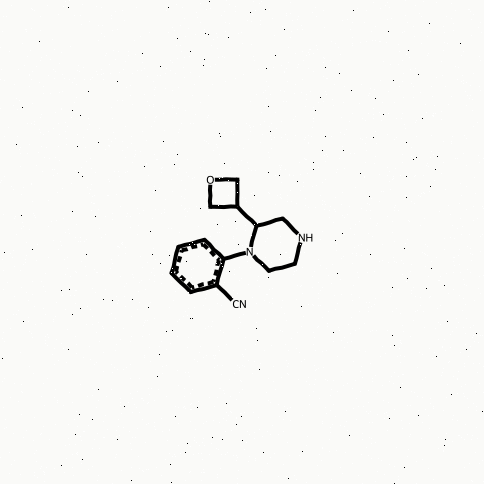 N#Cc1ccccc1N1CCNCC1C1COC1